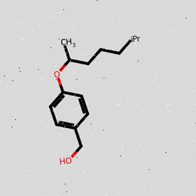 CC(C)CCCC(C)Oc1ccc(CO)cc1